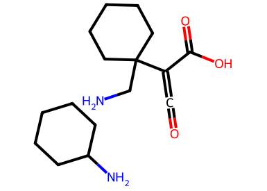 NC1CCCCC1.NCC1(C(=C=O)C(=O)O)CCCCC1